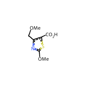 COCc1nc(OC)sc1C(=O)O